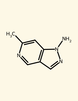 Cc1cc2c(cn1)cnn2N